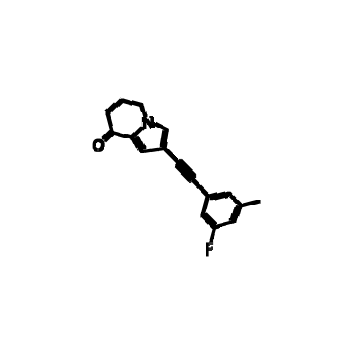 Cc1cc(F)cc(C#Cc2cc3n(c2)CCCC3=O)c1